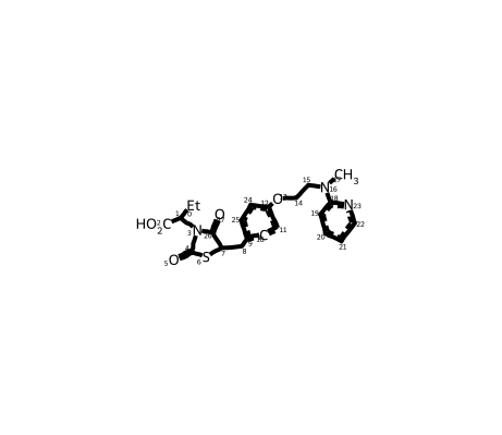 CCC(C(=O)O)N1C(=O)SC(Cc2ccc(OCCN(C)c3ccccn3)cc2)C1=O